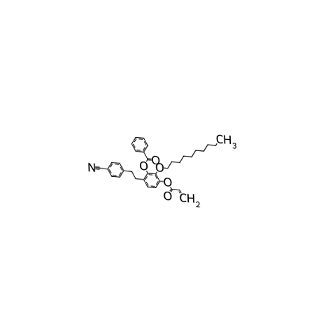 C=CC(=O)Oc1ccc(CCc2ccc(C#N)cc2)c(OC(=O)c2ccccc2)c1OCCCCCCCCCC